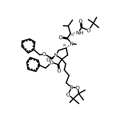 CC(C)[C@H](NC(=O)OC(C)(C)C)C(=O)N(C)[C@H]1CN(C(=O)OCc2ccccc2)C(CCCCB2OC(C)(C)C(C)(C)O2)(C(=O)OCc2ccccc2)C1